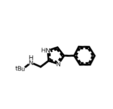 CC(C)(C)NCc1nc(-c2ccccc2)c[nH]1